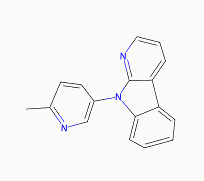 Cc1ccc(-n2c3ccccc3c3cccnc32)cn1